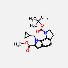 COC(=O)c1cc2ccc3c(c2n1CC1CC1)N(C(=O)OC(C)(C)C)CC3